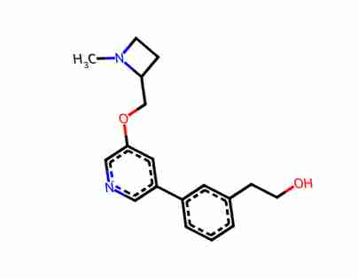 CN1CCC1COc1cncc(-c2cccc(CCO)c2)c1